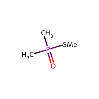 CSP(C)(C)=O